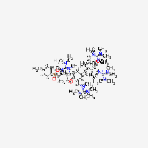 COc1c(C[N+](C)=C(N(C)C)N(C)C)cc(C(C)(C)c2cc(C[N+](C)=C(N(C)C)N(C)C)c(Oc3ccc(S(=O)(=O)c4ccc(C)cc4)cc3)c(C[N+](C)=C(N(C)C)N(C)C)c2)cc1C[N+](C)=C(N(C)C)N(C)C